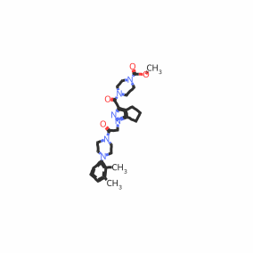 COC(=O)N1CCN(C(=O)c2nn(CC(=O)N3CCN(c4cccc(C)c4C)CC3)c3c2CCC3)CC1